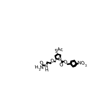 CC(=O)S[C@H]1C[C@@H](COCCNC(N)=O)N(C(=O)OCc2ccc([N+](=O)[O-])cc2)C1